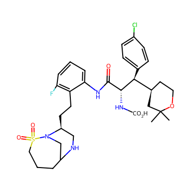 CC1(C)C[C@@H]([C@H](c2ccc(Cl)cc2)[C@H](NC(=O)O)C(=O)Nc2cccc(F)c2CC[C@H]2CNC3CCCS(=O)(=O)N2C3)CCO1